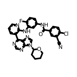 N#Cc1cc(C(=O)Nc2ccc(F)c(Nc3ncccc3-c3ncnc4c3ncn4C3CCCCO3)c2)ccc1Cl